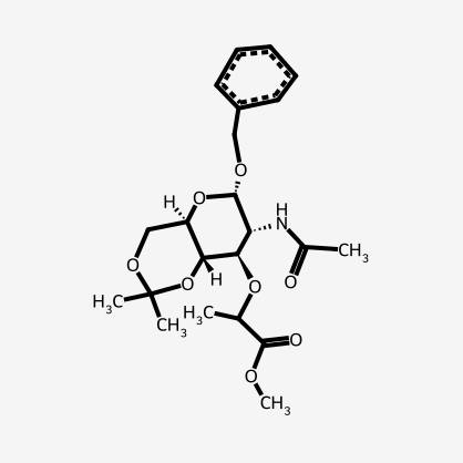 COC(=O)C(C)O[C@@H]1[C@@H](NC(C)=O)[C@@H](OCc2ccccc2)O[C@@H]2COC(C)(C)O[C@@H]12